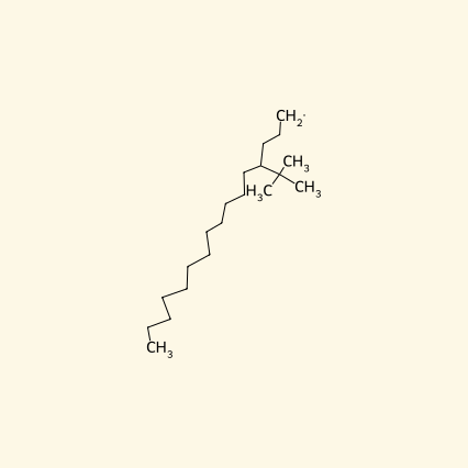 [CH2]CCC(CCCCCCCCCCCC)C(C)(C)C